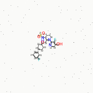 CS(=O)(=O)N[C@H]1CCCN(c2nccc(O)c2F)[C@H]1CO[C@H]1CC[C@@H](c2cccc(F)c2)CC1